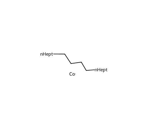 [CH2]CCCCCCCCCCCCCCCCC.[Co]